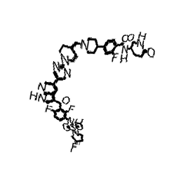 O=C1CCC(NC(=O)c2ccc(C3CCN(CC4CCN(c5ncc(-c6cnc7[nH]cc(C(=O)c8c(F)ccc(NS(=O)(=O)N9CC[C@@H](F)C9)c8F)c7c6)cn5)CC4)CC3)cc2F)C(=O)N1